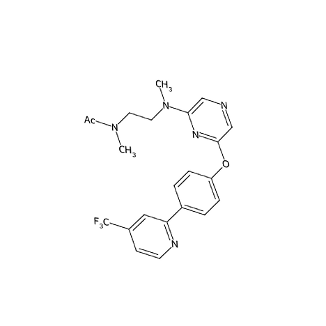 CC(=O)N(C)CCN(C)c1cncc(Oc2ccc(-c3cc(C(F)(F)F)ccn3)cc2)n1